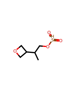 CC(CO[SH](=O)=O)C1COC1